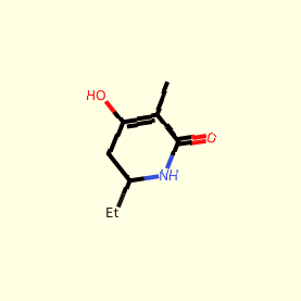 CCC1CC(O)=C(C)C(=O)N1